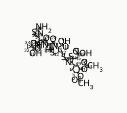 CC(=O)Oc1ccc(-c2nc(SCC3=C(C(=O)O)N4C(=O)[C@@H](NC(=O)C(=NOC5(C(=O)O)CC5)c5csc(N)n5)[C@@H]4SC3)sc2CC(=O)O)cc1OC(C)=O